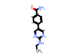 CCNc1ncc(-c2ccc(C(N)=O)cc2)cn1